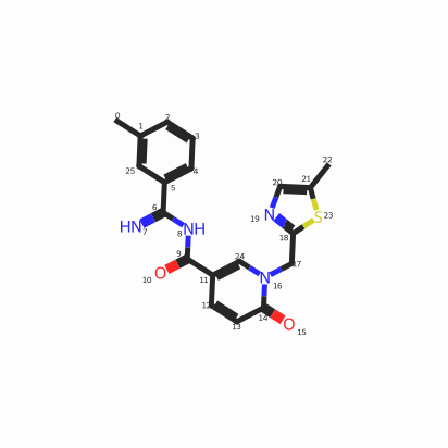 Cc1cccc(C(=N)NC(=O)c2ccc(=O)n(Cc3ncc(C)s3)c2)c1